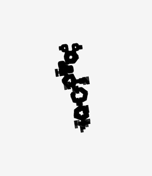 COc1ccc(S(=O)(=O)Nc2cnc(N3CCCN(c4ccc(C(F)(F)F)cn4)CC3)c(C#N)c2)cc1OC